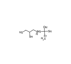 CCC(O)(S)S.OCC(S)CS.S